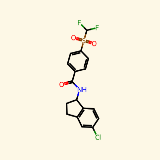 O=C(NC1CCc2cc(Cl)ccc21)c1ccc(S(=O)(=O)C(F)F)cc1